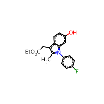 CCOC(=O)Cc1c(C)n(-c2ccc(F)cc2)c2cc(O)ccc12